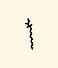 CCCCCCCCCC(C)(C)C(C)CC